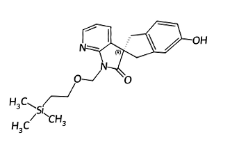 C[Si](C)(C)CCOCN1C(=O)[C@@]2(Cc3ccc(O)cc3C2)c2cccnc21